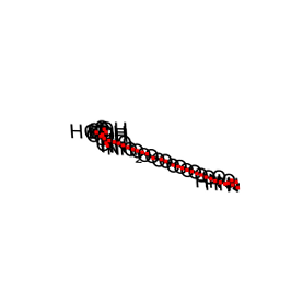 CC1CCCC(C)N1CC(=O)NCCC(=O)NCCOCCOCCOCCOCCOCCOCCOCCOCCOCCOCCOCCOCCC(=O)NCCCc1cn([C@@H]2O[C@H](COP(=O)(O)O)[C@H](OP(=O)(O)O)C2O)c(=O)nc1N